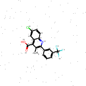 Cc1c(-c2cccc(C(F)(F)F)c2)nc2ccc(Cl)cc2c1C(=O)O